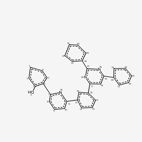 Oc1ccccc1-c1cccc(-c2cccc(-c3cc(-c4ccccc4)nc(-c4ccccc4)n3)c2)n1